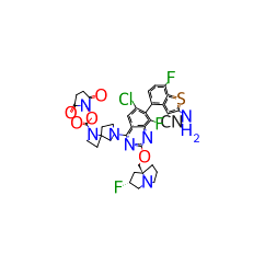 N#Cc1c(N)sc2c(F)ccc(-c3c(Cl)cc4c(N5CCC6(CCN6C(=O)ON6C(=O)CCC6=O)C5)nc(OC[C@@]56CCCN5C[C@H](F)C6)nc4c3F)c12